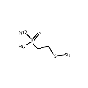 OP(O)(=S)CCSS